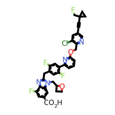 O=C(O)c1cc(F)c2nc(Cc3cc(F)c(-c4cccc(OCc5ncc(C#CC6(CF)CC6)cc5Cl)n4)cc3F)n(CC3CCO3)c2c1